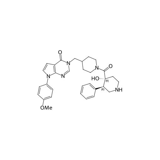 COc1ccc(-n2ccc3c(=O)n(CC4CCN(C(=O)[C@@]5(O)CCNC[C@H]5c5ccccc5)CC4)cnc32)cc1